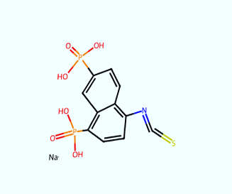 O=P(O)(O)c1ccc2c(N=C=S)ccc(P(=O)(O)O)c2c1.[Na]